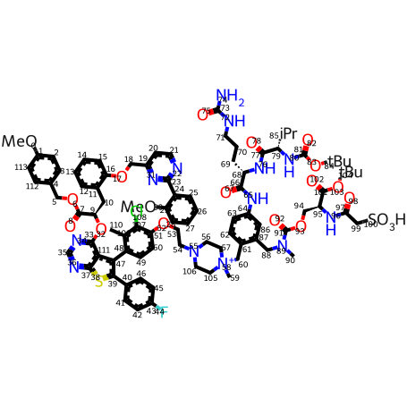 COc1ccc(COC(=O)[C@@H](Cc2ccccc2OCc2ccnc(-c3ccccc3OC)n2)Oc2ncnc3sc(-c4ccc(F)cc4)c(-c4ccc(OCCN5CC[N+](C)(Cc6ccc(NC(=O)[C@H](CCCNC(N)=O)NC(=O)[C@@H](NC(=O)OC(C)(C)C)C(C)C)cc6CN(C)C(=O)OC[C@H](NC(=O)CS(=O)(=O)O)C(=O)OC(C)(C)C)CC5)c(Cl)c4C)c23)cc1